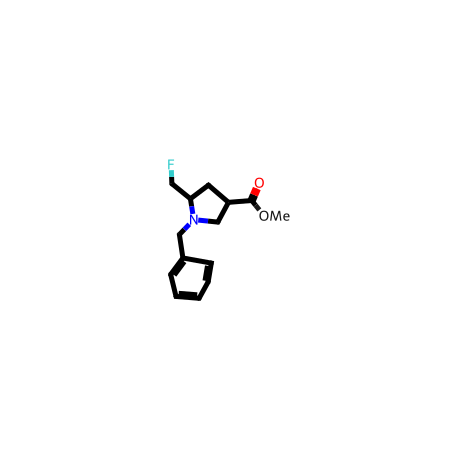 COC(=O)C1CC(CF)N(Cc2ccccc2)C1